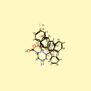 O=C1OC(c2ccc(F)cc2)(c2ccc(F)cc2)N2C1CNCC2C(c1ccccc1)(c1ccccc1)c1ccccc1